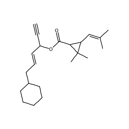 C#CC(C=CCC1CCCCC1)OC(=O)C1C(C=C(C)C)C1(C)C